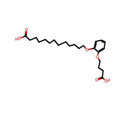 O=C(O)CCCCCCCCCCCCOc1ccccc1OCCCC(=O)O